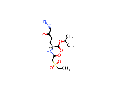 CCS(=O)(=O)CC(=O)N[C@@H](CCC(=O)C=[N+]=[N-])C(=O)OC(C)C